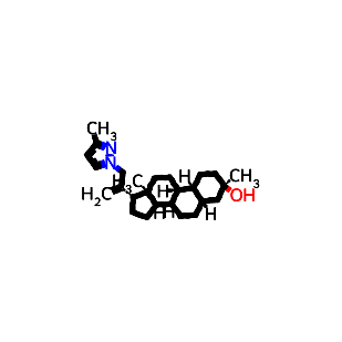 C=C(Cn1ccc(C)n1)[C@H]1CC[C@H]2[C@@H]3CC[C@H]4C[C@](C)(O)CC[C@@H]4[C@H]3CC[C@]12C